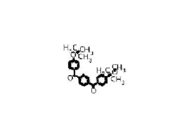 COC(C)(C)c1ccc(C(=O)c2ccc(C(=O)c3ccc(OC(C)(C)C)cc3)cc2)cc1